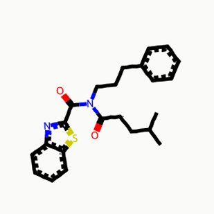 CC(C)C[CH]C(=O)N(CCCc1ccccc1)C(=O)c1nc2ccccc2s1